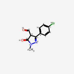 CN1N=C(c2ccc(Br)cc2)C(C=O)C1=O